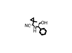 CC1([C@@H](C#N)N[C@@H](CO)c2ccccc2)CC1